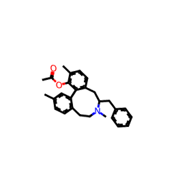 CC(=O)Oc1c(C)ccc2c1-c1cc(C)ccc1CCN(C)C(Cc1ccccc1)C2